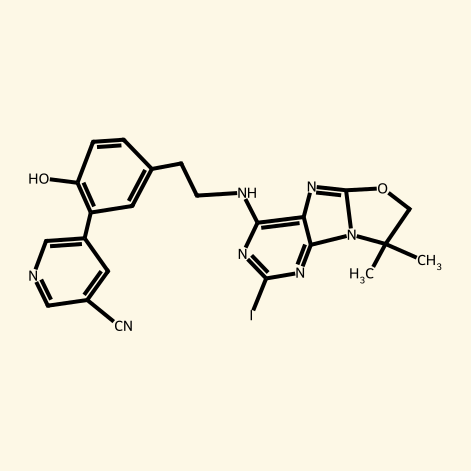 CC1(C)COc2nc3c(NCCc4ccc(O)c(-c5cncc(C#N)c5)c4)nc(I)nc3n21